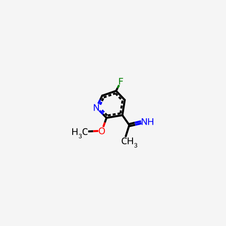 COc1ncc(F)cc1C(C)=N